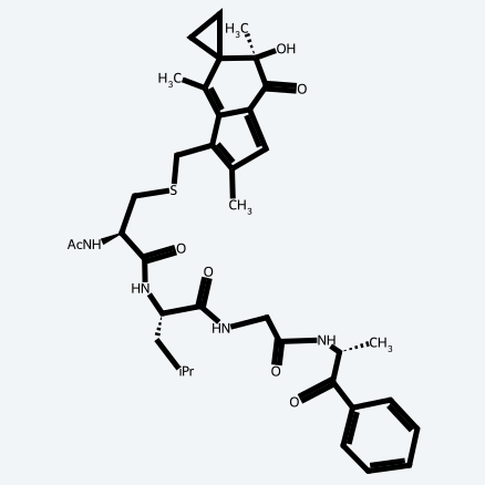 CC(=O)N[C@@H](CSCC1=C(C)C=C2C(=O)[C@](C)(O)C3(CC3)C(C)=C21)C(=O)N[C@@H](CC(C)C)C(=O)NCC(=O)N[C@H](C)C(=O)c1ccccc1